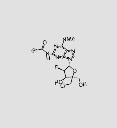 CNc1nc(NC(=O)C(C)C)nc2c1ncn2[C@@H]1O[C@@](CO)(CCl)[C@@H](O)[C@H]1F